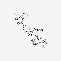 CC(C)(C)OC(=O)N1CCC(O)(C(CO[Si](C)(C)C(C)(C)C)N=[N+]=[N-])CC1